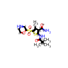 Cc1c(S(=O)(=O)C2CNCCO2)sc(NC(=O)C(C)(C)C)c1C(N)=O